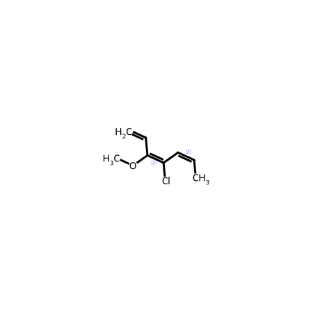 C=C/C(OC)=C(Cl)\C=C/C